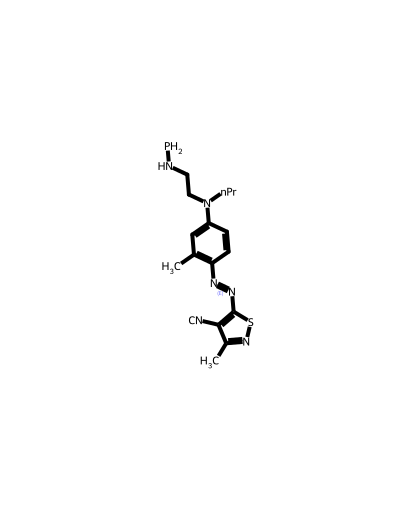 [C-]#[N+]c1c(C)nsc1/N=N/c1ccc(N(CCC)CCNP)cc1C